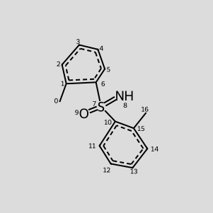 Cc1ccccc1S(=N)(=O)c1ccccc1C